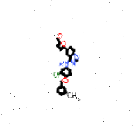 Cc1cccc(COc2ccc(Nc3ncnc4ccc(-c5ccc(C=O)o5)cc34)cc2Cl)c1